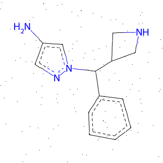 Nc1cnn(C(c2ccccc2)C2CNC2)c1